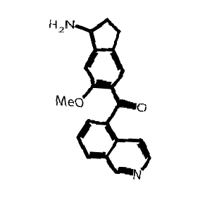 COc1cc2c(cc1C(=O)c1cccc3cnccc13)CCC2N